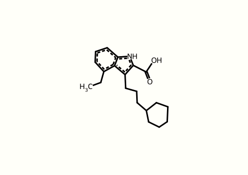 CCc1cccc2[nH]c(C(=O)O)c(CCCC3CCCCC3)c12